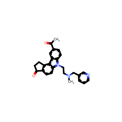 CC(=O)c1ccc2c(c1)c1c3c(ccc1n2CCN(C)Cc1cccnc1)C(=O)CC3